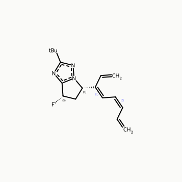 C=C/C=C\C=C(/C=C)[C@@H]1C[C@H](F)c2nc(C(C)(C)C)nn21